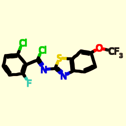 Fc1cccc(Cl)c1C(Cl)=Nc1nc2ccc(OC(F)(F)F)cc2s1